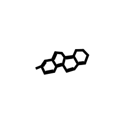 Cc1ccc2c(c1)=CCc1c3c(ccc1=2)=CCCC3